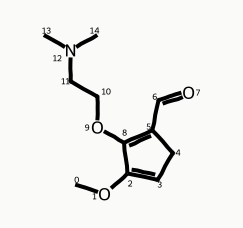 COC1=CCC(C=O)=C1OCCN(C)C